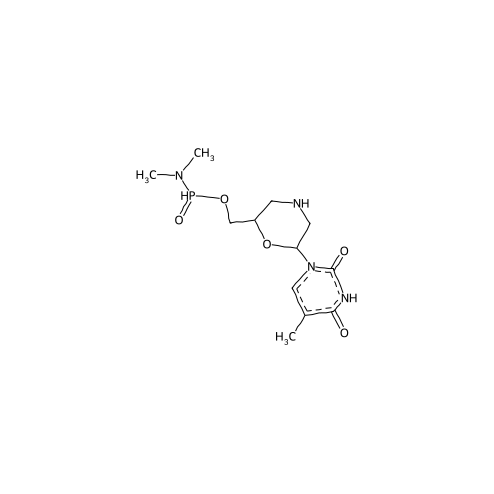 Cc1cn(C2CNCC(CO[PH](=O)N(C)C)O2)c(=O)[nH]c1=O